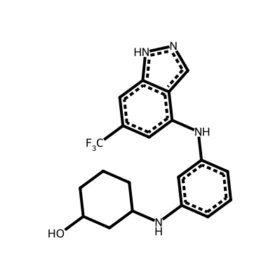 OC1CCCC(Nc2cccc(Nc3cc(C(F)(F)F)cc4[nH]ncc34)c2)C1